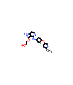 Cc1ccc(Oc2ccc(Nc3nccc4[nH]nc(OCCO)c34)cc2Cl)cn1